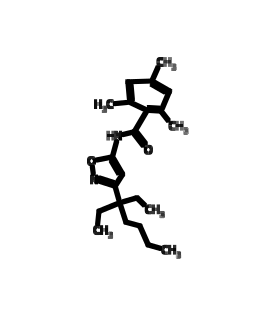 CCCCC(CC)(CC)c1cc(NC(=O)c2c(C)cc(C)cc2C)on1